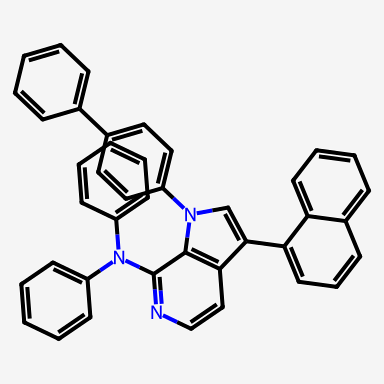 c1ccc(-c2ccc(-n3cc(-c4cccc5ccccc45)c4ccnc(N(c5ccccc5)c5ccccc5)c43)cc2)cc1